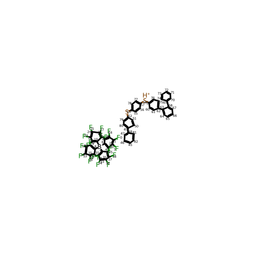 Fc1c(F)c(F)c([B-](c2c(F)c(F)c(F)c(F)c2F)(c2c(F)c(F)c(F)c(F)c2F)c2c(F)c(F)c(F)c(F)c2F)c(F)c1F.c1ccc(-c2ccc(Sc3ccc([SH+]c4ccc(-c5ccccc5-c5ccccc5)cc4)cc3)cc2)cc1